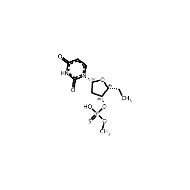 CC[C@H]1O[C@@H](n2ccc(=O)[nH]c2=O)C[C@H]1OP(O)(=S)OC